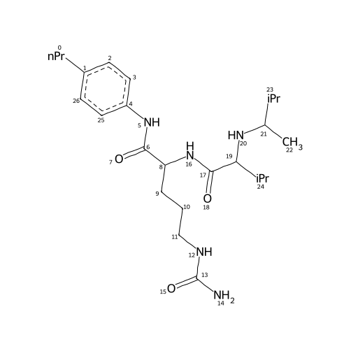 CCCc1ccc(NC(=O)C(CCCNC(N)=O)NC(=O)C(NC(C)C(C)C)C(C)C)cc1